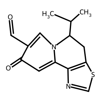 CC(C)C1Cc2scnc2-c2cc(=O)c(C=O)cn21